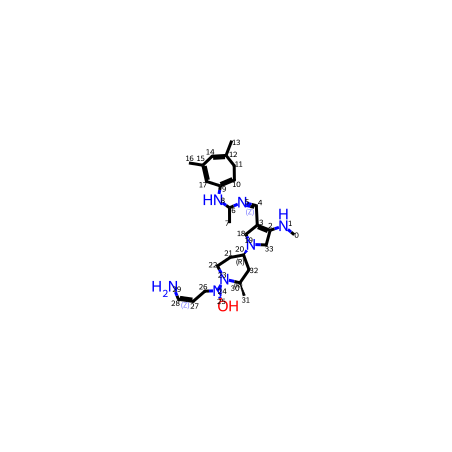 CNC1=C(/C=N\C(C)NC2=CCC(C)=CC(C)=C2)CN([C@@H]2CCN(N(O)C/C=C\N)[C@H](C)C2)C1